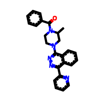 CC1CN(c2nnc(-c3ccccn3)c3ccccc23)CCN1C(=O)c1ccccc1